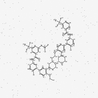 CCOc1ncc(-c2cc(NC(=O)c3cc(CN(C)C)cc(C(F)(F)F)c3)cnc2C)nc1N1CCOC(CCOc2ncc(-c3cc(NC(=O)c4cc(C(F)(F)F)ccn4)cnc3C)nc2N2CCOCC2)C1